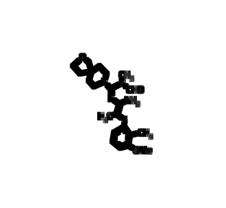 COc1cccc(S/C(C)=C(N)/N=C(\N(C)C=O)N2CCC3(CCOC3)CC2)c1C